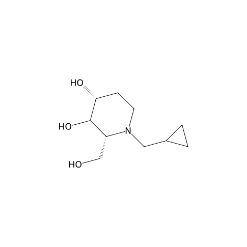 OC[C@@H]1C(O)[C@H](O)CCN1CC1CC1